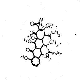 CCCC(=O)OC1C2C(=C(O)C3(O)C(=O)C(C(N)=O)=C(O)C(N(C)C)C13)C(=O)c1c(O)cccc1C2C